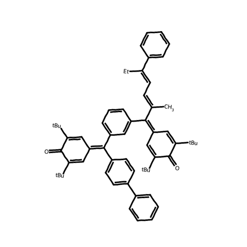 CC/C(=C\C=C(/C)C(=C1C=C(C(C)(C)C)C(=O)C(C(C)(C)C)=C1)c1cccc(C(=C2C=C(C(C)(C)C)C(=O)C(C(C)(C)C)=C2)c2ccc(-c3ccccc3)cc2)c1)c1ccccc1